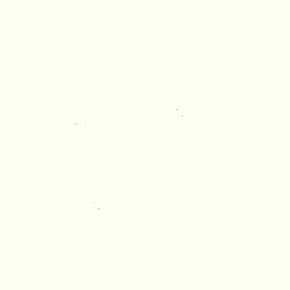 NC=O.O=C1CC(CNC2CC2c2ccccc2)CCN1CCCc1ccc(O)cc1